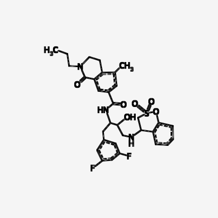 CCCN1CCc2c(C)cc(C(=O)NC(Cc3cc(F)cc(F)c3)C(O)CNC3CS(=O)(=O)Oc4ccccc43)cc2C1=O